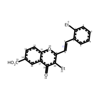 CCc1ccccc1/C=C/c1oc2ccc(C(=O)O)cc2c(=O)c1CC